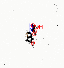 COc1ccc2scc(NC(=O)C(=O)O)c(=O)c2c1